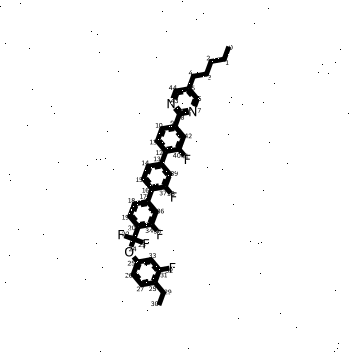 CCCCCc1cnc(-c2ccc(-c3ccc(-c4ccc(C(F)(F)Oc5ccc(CC)c(F)c5)c(F)c4)c(F)c3)c(F)c2)nc1